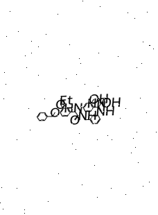 CCOc1cc([C@H](Nc2ccc(C(=N)NO)c(O)c2)C(=O)NCc2ccccc2)ccc1OCc1ccccc1